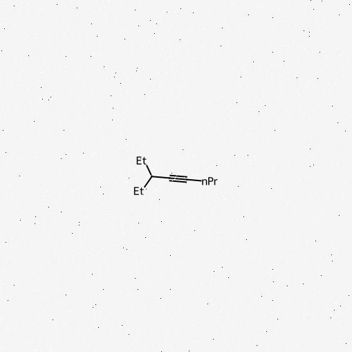 [CH2]CCC#CC(C[CH2])CC